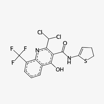 O=C(NC1=CCCS1)c1c(C(Cl)Cl)nc2c(C(F)(F)F)cccc2c1O